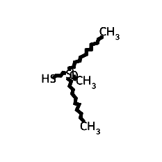 CCCCCCCCCCCCC[Si](CCCS)(CCCCCCCCCCCCC)OCC